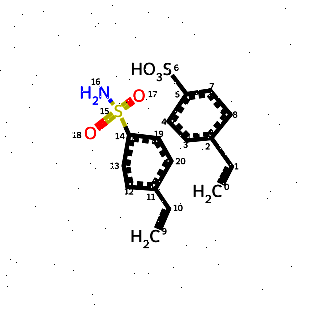 C=Cc1ccc(S(=O)(=O)O)cc1.C=Cc1ccc(S(N)(=O)=O)cc1